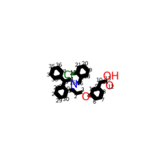 CC(CCOc1cccc(CC(=O)O)c1)N(Cc1ccccc1Cl)CC(c1ccccc1)c1ccccc1